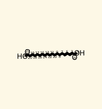 O=C(O)C=CC=CCCCCCCCCCCCCCCC(=O)O